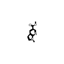 COC(=O)c1cnc2c(ccn2C)c1